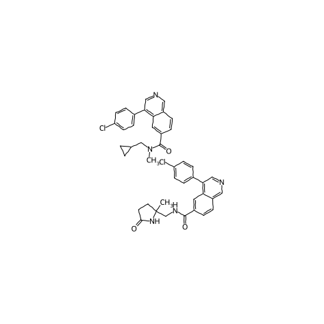 CC1(CNC(=O)c2ccc3cncc(-c4ccc(Cl)cc4)c3c2)CCC(=O)N1.CN(CC1CC1)C(=O)c1ccc2cncc(-c3ccc(Cl)cc3)c2c1